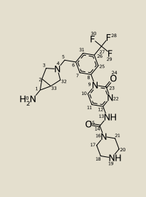 NC1C2CN(Cc3cc(-n4ccc(NC(=O)N5CCNCC5)nc4=O)cc(C(F)(F)F)c3)CC12